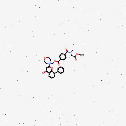 CN(CC(=O)OC(C)(C)C)C(=O)c1ccc(C(=O)OC[N+]2(c3cc(=O)c4cccc(-c5ccccc5)c4o3)CCOCC2)cc1